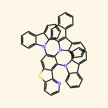 c1ccc2c(c1)ccc1c2c2ccccc2n1-c1c(-n2c3ccccc3c3ccccc32)cc2sc3cccnc3c2c1-n1c2ccccc2c2ccccc21